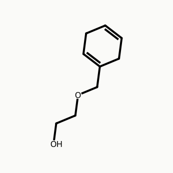 OCCOCC1=CCC=CC1